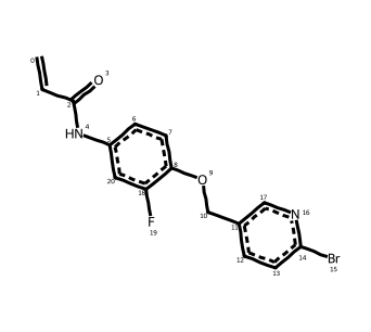 C=CC(=O)Nc1ccc(OCc2ccc(Br)nc2)c(F)c1